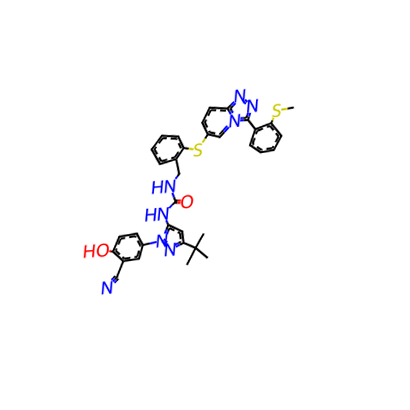 CSc1ccccc1-c1nnc2ccc(Sc3ccccc3CNC(=O)Nc3cc(C(C)(C)C)nn3-c3ccc(O)c(C#N)c3)cn12